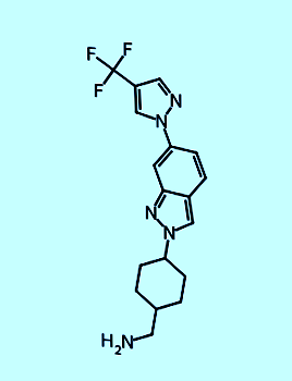 NCC1CCC(n2cc3ccc(-n4cc(C(F)(F)F)cn4)cc3n2)CC1